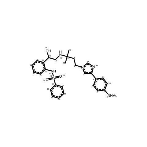 CC(=O)Nc1ccc(-c2cn(CCC(C)(C)NCC(O)c3ccccc3NS(=O)(=O)c3ccccc3)cn2)cc1